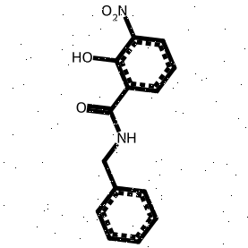 O=C(NCc1ccccc1)c1cccc([N+](=O)[O-])c1O